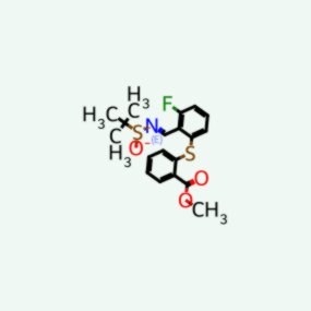 COC(=O)c1ccccc1Sc1cccc(F)c1/C=N/[S+]([O-])C(C)(C)C